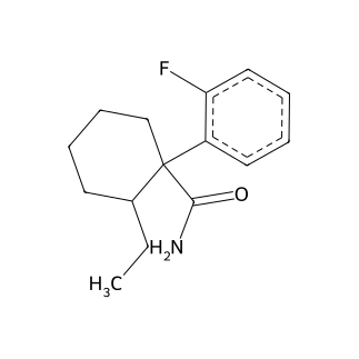 CCC1CCCCC1(C(N)=O)c1ccccc1F